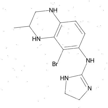 CC1CNc2ccc(NC3=NCCN3)c(Br)c2N1